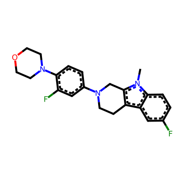 Cn1c2c(c3cc(F)ccc31)CCN(c1ccc(N3CCOCC3)c(F)c1)C2